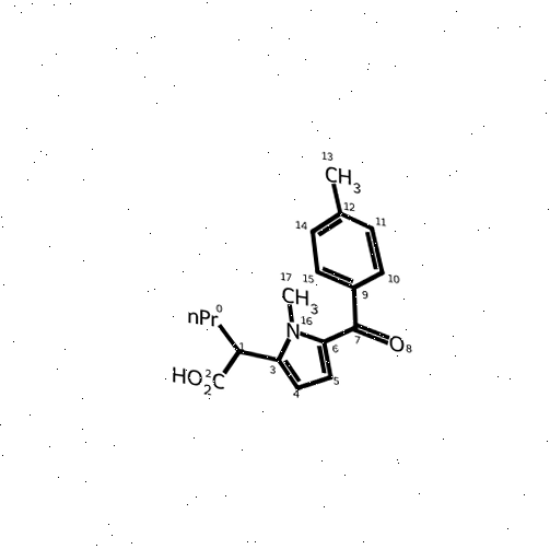 CCCC(C(=O)O)c1ccc(C(=O)c2ccc(C)cc2)n1C